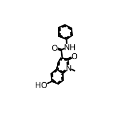 Cn1c(=O)c(C(=O)Nc2ccccc2)cc2cc(O)ccc21